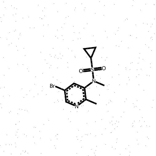 Cc1ncc(Br)cc1N(C)S(=O)(=O)C1CC1